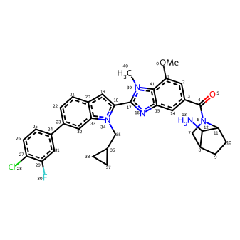 COc1cc(C(=O)N2CC3CCC2C3N)cc2nc(-c3cc4ccc(-c5ccc(Cl)c(F)c5)cc4n3CC3CC3)n(C)c12